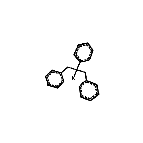 [K][C](Cc1ccccc1)(Cc1ccccc1)c1ccccc1